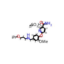 COc1cc(CNCCCOC(C)C)ccc1Oc1ccc(C(N)=O)cn1.CS(=O)(=O)O